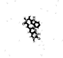 CC(c1cc2ccccc2[nH]1)N(C)C(=O)C=Cc1cnc2c(c1)CN(C)C(=O)N2